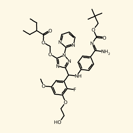 CCC(CC)C(=O)OCOc1nc(C(Nc2ccc(C(N)=NC(=O)OCC(C)(C)C)cc2)c2cc(OC)cc(OCCO)c2F)nn1-c1ncccn1